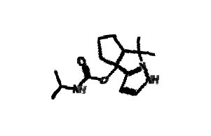 CC(C)NC(=O)OC1(c2cc[nH]n2)CCCC1C(C)(C)C